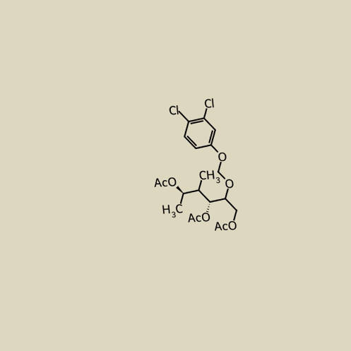 CC(=O)OCC(OCOc1ccc(Cl)c(Cl)c1)[C@H](OC(C)=O)C(C)[C@@H](C)OC(C)=O